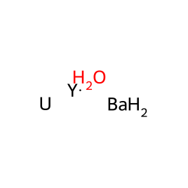 O.[BaH2].[U].[Y]